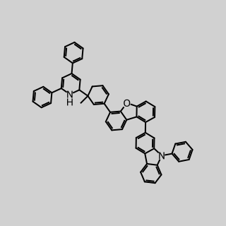 CC1(C2C=C(c3ccccc3)C=C(c3ccccc3)N2)C=C(c2cccc3c2oc2cccc(-c4ccc5c6ccccc6n(-c6ccccc6)c5c4)c23)C=CC1